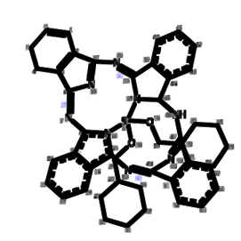 C1=CC2=C(CC1)/C1=N/c3c4ccccc4c4n3[Si](OCC3CCCCC3)(OCC3CCCCC3)N3/C(=N\C2=N1)c1ccccc1C3NC1=N/C(=N\4)c2ccccc21